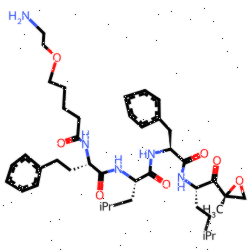 CC(C)CC[C@H](NC(=O)[C@H](Cc1ccccc1)NC(=O)[C@H](CC(C)C)NC(=O)[C@H](CCc1ccccc1)NC(=O)CCCCOCCN)C(=O)[C@@]1(C)CO1